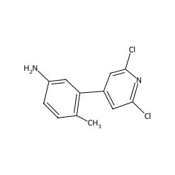 Cc1ccc(N)cc1-c1cc(Cl)nc(Cl)c1